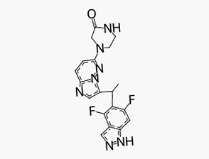 CC(c1c(F)cc2[nH]ncc2c1F)c1cnc2ccc(N3CCNC(=O)C3)nn12